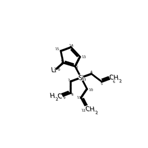 [Li][C]1=C([Si](CC=C)(CC=C)CC=C)C=CC1